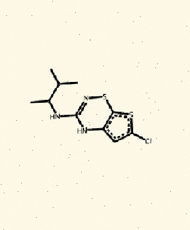 CC(C)C(C)NC1=NSc2sc(Cl)cc2N1